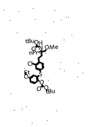 CCC[C@](CCc1ccc(Sc2cc(OCC)ccc2OC(=O)OC(C)(C)C)cc1Cl)(COC)NC(=O)OC(C)(C)C